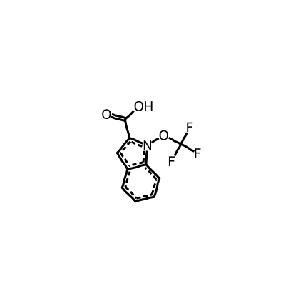 O=C(O)c1cc2ccccc2n1OC(F)(F)F